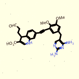 COc1cc(Cc2cnc(N)nc2N)cc(C#Cc2ccc3c(c2)NC=C(C(=O)O)C3CCC=O)c1OC